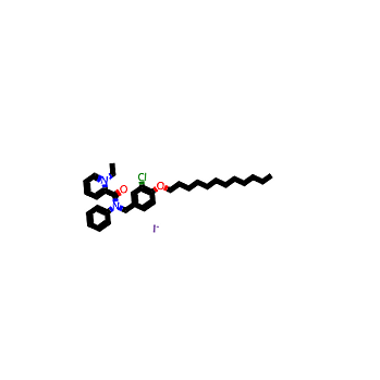 CCCCCCCCCCCCOc1ccc(CN(C(=O)c2cccc[n+]2CC)c2ccccc2)cc1Cl.[I-]